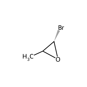 CC1O[C@H]1Br